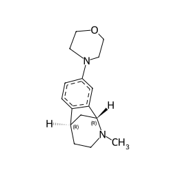 CN1CC[C@@H]2C[C@@H]1c1cc(N3CCOCC3)ccc12